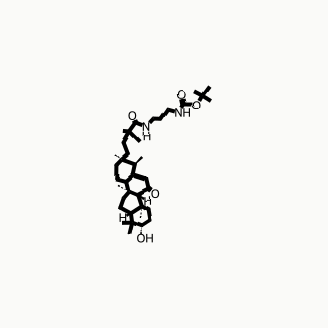 C[C@H]1C2=CC(=O)[C@@H]3[C@@]4(C)CC[C@H](O)C(C)(C)[C@@H]4CC[C@@]3(C)C2CC[C@@]1(C)CCC(C)(C)C(=O)NCCCNC(=O)OC(C)(C)C